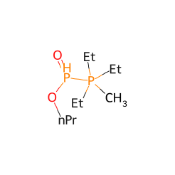 CCCO[PH](=O)P(C)(CC)(CC)CC